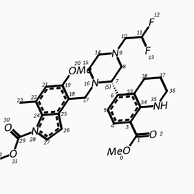 COC(=O)c1ccc([C@H]2CN(CC(F)F)CCN2Cc2c(OC)cc(C)c3c2ccn3C(=O)OC(C)(C)C)c2c1NCCC2